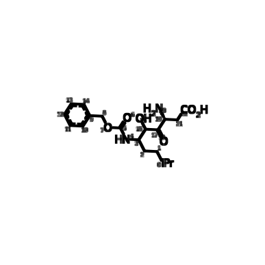 CC(C)CCC(NC(=O)OCc1ccccc1)C(O)C(=O)[C@@H](N)CC(=O)O